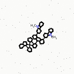 Cn1c2ccccc2c2ccc(-c3cccc4c(-c5cccc6c5-c5ccccc5C65c6ccccc6-c6c5ccc5ccccc65)c5cccc(-c6ccc7c8ccccc8n(C)c7c6)c5cc34)cc21